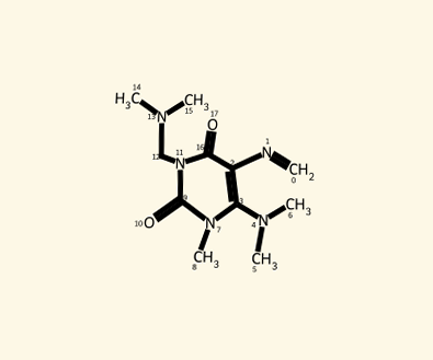 C=Nc1c(N(C)C)n(C)c(=O)n(CN(C)C)c1=O